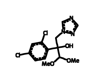 COC(OC)C(O)(Cn1cncn1)c1ccc(Cl)cc1Cl